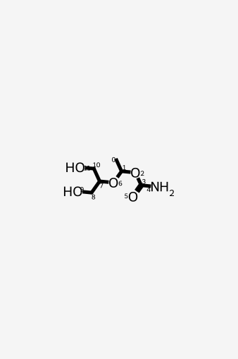 CC(OC(N)=O)OC(CO)CO